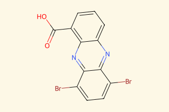 O=C(O)c1cccc2nc3c(Br)ccc(Br)c3nc12